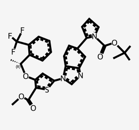 COC(=O)c1sc(-n2cnc3cc(-c4cccn4C(=O)OC(C)(C)C)ccc32)cc1O[C@H](C)c1ccccc1C(F)(F)F